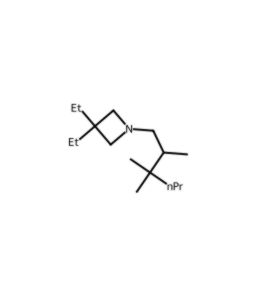 CCCC(C)(C)C(C)CN1CC(CC)(CC)C1